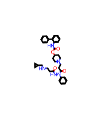 O=C(CCNCC1CC1)NN(C(=O)CCN1CCC(OC(=O)Nc2ccccc2-c2ccccc2)CC1)c1ccccc1